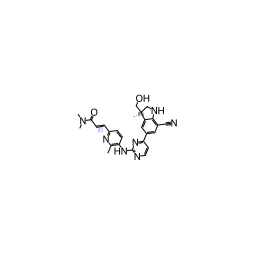 Cc1nc(/C=C/C(=O)N(C)C)ccc1Nc1nccc(-c2cc(C#N)c3c(c2)[C@@](C)(CO)CN3)n1